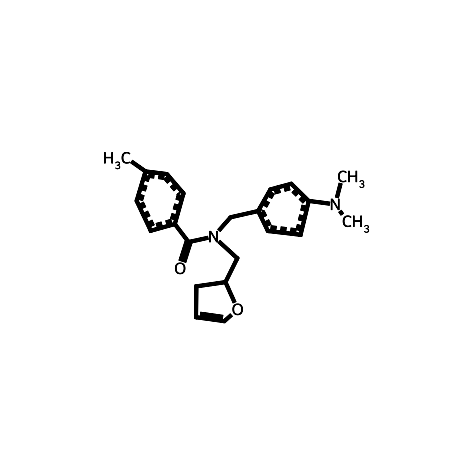 Cc1ccc(C(=O)N(Cc2ccc(N(C)C)cc2)CC2CC=CO2)cc1